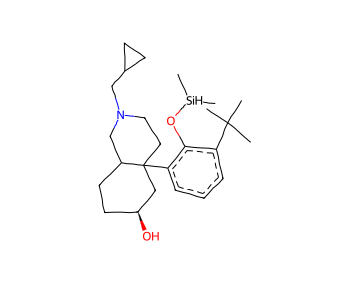 C[SiH](C)Oc1c(C(C)(C)C)cccc1C12CCN(CC3CC3)CC1CC[C@H](O)C2